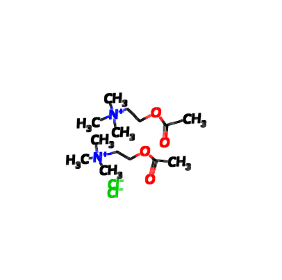 CC(=O)OCC[N+](C)(C)C.CC(=O)OCC[N+](C)(C)C.[Cl-].[Cl-]